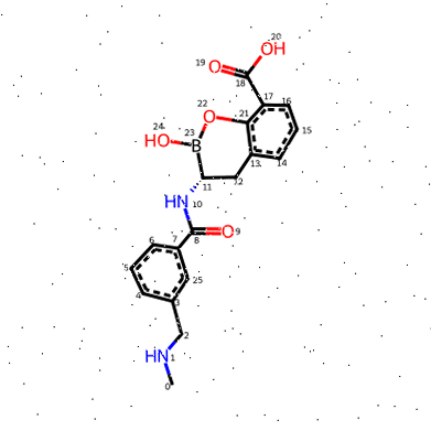 CNCc1cccc(C(=O)N[C@H]2Cc3cccc(C(=O)O)c3OB2O)c1